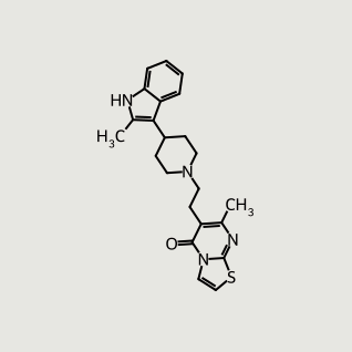 Cc1nc2sccn2c(=O)c1CCN1CCC(c2c(C)[nH]c3ccccc23)CC1